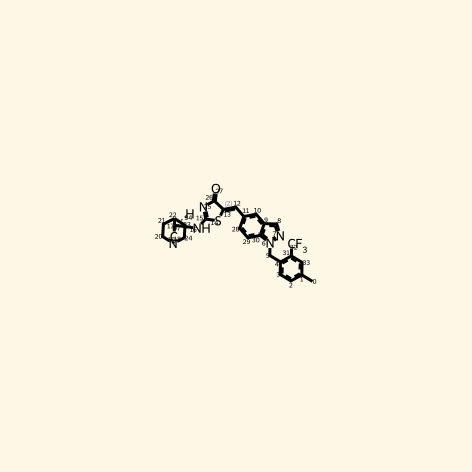 Cc1ccc(Cn2ncc3cc(/C=C4\SC(N[C@H]5CN6CCC5CC6)=NC4=O)ccc32)c(C(F)(F)F)c1